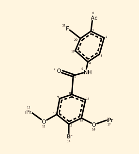 CC(=O)c1ccc(NC(=O)c2cc(OC(C)C)c(Br)c(OC(C)C)c2)cc1F